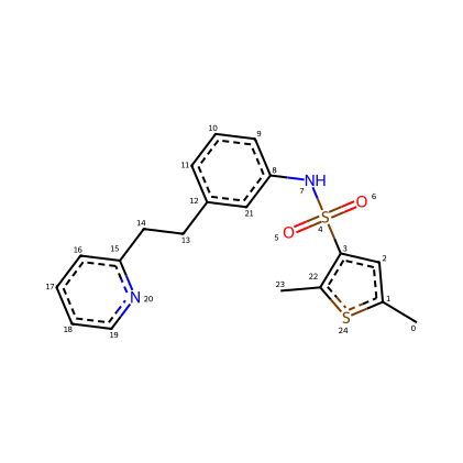 Cc1cc(S(=O)(=O)Nc2cccc(CCc3ccccn3)c2)c(C)s1